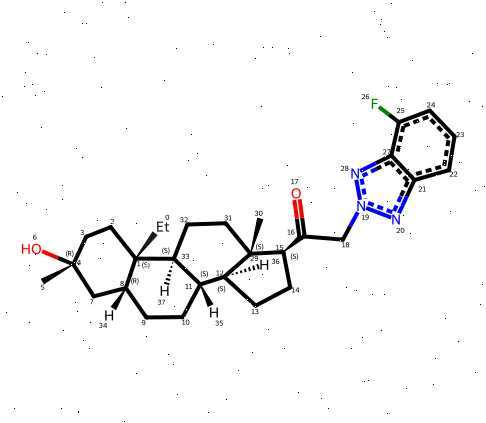 CC[C@]12CC[C@@](C)(O)C[C@H]1CC[C@H]1[C@@H]3CC[C@H](C(=O)Cn4nc5cccc(F)c5n4)[C@@]3(C)CC[C@@H]12